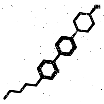 CCCCCc1ccc(-c2ccc([C@H]3CC[C@H](O)CC3)cc2)nc1